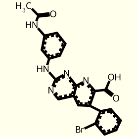 CC(=O)Nc1cccc(Nc2ncc3cc(-c4ccccc4Br)c(C(=O)O)nc3n2)c1